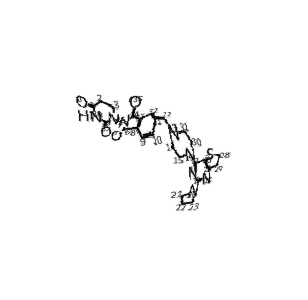 O=C1CCN(N2C(=O)c3ccc(CN4CCN(c5nc(N6CCC6)nc6c5SCC6)CC4)cc3C2=O)C(=O)N1